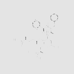 CC(C)C[C@H](NC(=O)[C@H](Cc1ccccc1)NC(=O)c1cnccn1)B(OCC(=O)N(C)C)OC(=O)CCC(=O)N(C)C